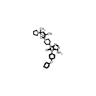 CC(C)(/C=C(/C#N)C(=O)N1CCC(n2c(=O)n(-c3ccc(Oc4ccccc4)cc3)c3c(N)ncnc32)CC1)N1CCCC1